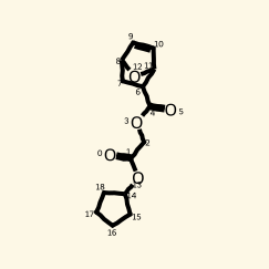 O=C(COC(=O)C1CC2C=CC1O2)OC1CCCC1